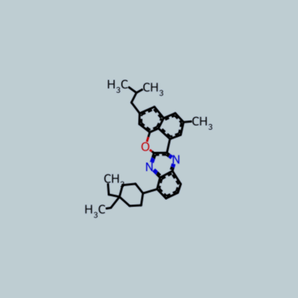 CCC1(CC)CCC(c2cccc3nc4c(nc23)Oc2cc(CC(C)C)cc3cc(C)cc-4c23)CC1